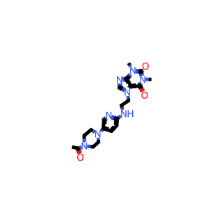 CC(=O)N1CCN(c2ccc(NCCn3cnc4c3c(=O)n(C)c(=O)n4C)nc2)CC1